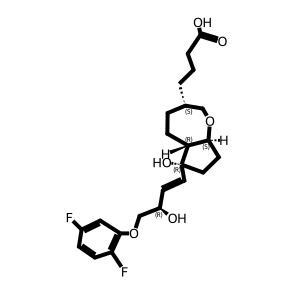 O=C(O)CCC[C@H]1CC[C@@H]2[C@H](CC[C@@]2(O)C=C[C@@H](O)COc2cc(F)ccc2F)OC1